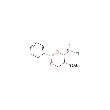 COC1COC(c2ccccc2)OC1[C@H](C)Cl